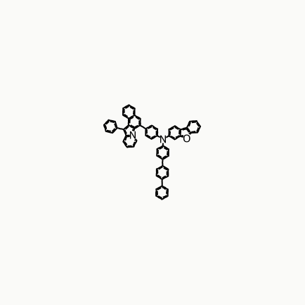 c1ccc(-c2ccc(-c3ccc(N(c4ccc(-c5cc6ccccc6c6c(-c7ccccc7)c7ccccn7c56)cc4)c4ccc5c(c4)oc4ccccc45)cc3)cc2)cc1